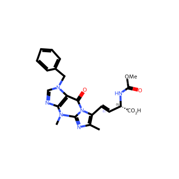 COC(=O)N[C@@H](/C=C/c1c(C)nc2n(C)c3ncn(Cc4ccccc4)c3c(=O)n12)C(=O)O